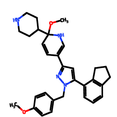 COc1ccc(Cn2nc(C3=CNC(OC)(C4CCNCC4)C=C3)cc2-c2cccc3c2CCC3)cc1